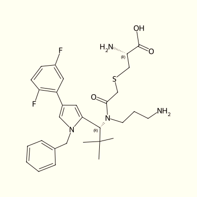 CC(C)(C)[C@H](c1cc(-c2cc(F)ccc2F)cn1Cc1ccccc1)N(CCCN)C(=O)CSC[C@H](N)C(=O)O